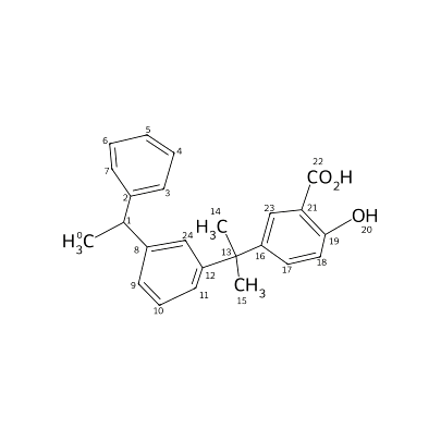 CC(c1ccccc1)c1cccc(C(C)(C)c2ccc(O)c(C(=O)O)c2)c1